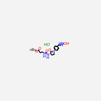 CCCCOC(=O)CCNC(=O)N[C@H]1CCN(c2ccc(C=NNO)cc2)C1=O.Cl